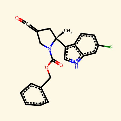 C[C@]1(c2c[nH]c3cc(F)ccc23)CC(=C=O)CN1C(=O)OCc1ccccc1